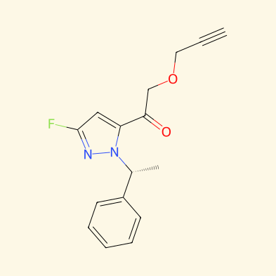 C#CCOCC(=O)c1cc(F)nn1[C@H](C)c1ccccc1